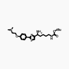 CN(C)CCOc1ccc(-c2nc(C(N)CCCCNC(=O)OC(C)(C)C)cs2)cc1